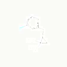 O=C(O)C1(C(=O)O)CC1Cc1cc[c]c(F)c1